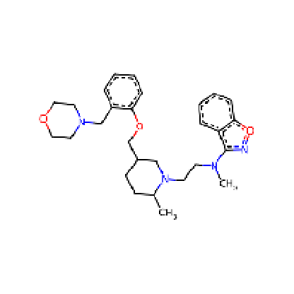 CC1CCC(COc2ccccc2CN2CCOCC2)CN1CCN(C)c1noc2ccccc12